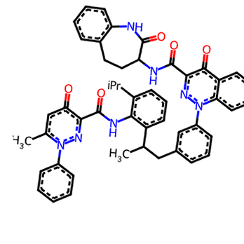 Cc1cc(=O)c(C(=O)Nc2c(C(C)C)cccc2C(C)Cc2cccc(-n3nc(C(=O)NC4CCc5ccccc5NC4=O)c(=O)c4ccccc43)c2)nn1-c1ccccc1